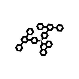 C1=CCC(c2ccc(-c3ccccc3)cc2-c2ccc(N(c3ccc(-c4cc(-c5ccccc5)ccc4C4C=CC=CC4)cc3)c3cc4ccccc4c4ccccc34)cc2)C=C1